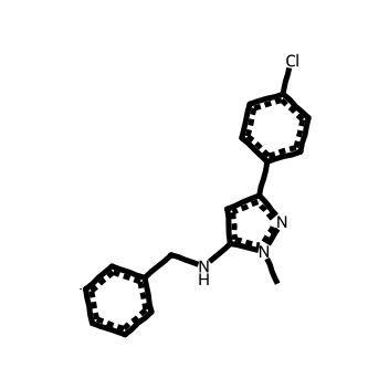 Cn1nc(-c2ccc(Cl)cc2)cc1NCc1c[c]ccc1